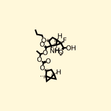 CCCO[C@@H]1C[C@@H]2[C@H]([C@]1(N)C(=O)OC(C)OC(=O)O[C@H]1C[C@H]3CC34C[C@@]14C)[C@@]2(F)C(=O)O